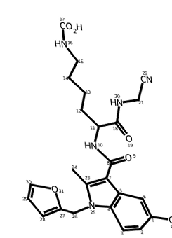 COc1ccc2c(c1)c(C(=O)NC(CCCCNC(=O)O)C(=O)NCC#N)c(C)n2Cc1ccco1